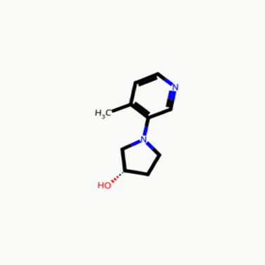 Cc1ccncc1N1CC[C@H](O)C1